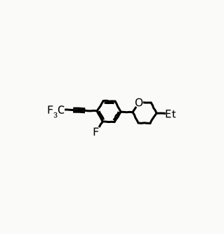 CCC1CCC(c2ccc(C#CC(F)(F)F)c(F)c2)OC1